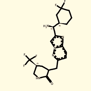 N[C@H](c1cn2nc(CC3C[C@H](C(F)(F)F)CNC3=O)ccc2n1)[C@@H]1CCCC(F)(F)C1